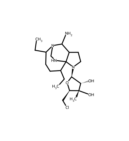 CCC1CCC(CC)C23NCN1C(N)C2CCN3[C@@H]1O[C@H](CCl)[C@@](C)(O)[C@H]1O